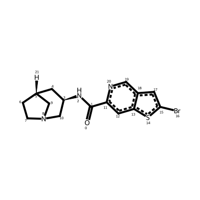 O=C(N[C@@H]1C[C@H]2CCN(C2)C1)c1cc2sc(Br)cc2cn1